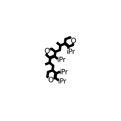 CC(C)C1=C(C(C)CC2COCC(C(C)CC3CCOC(C(C)C)=C3C(C)C)=C2C(C)C)CCOC1